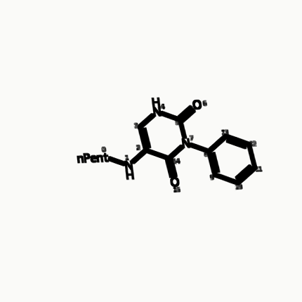 CCCCCNc1c[nH]c(=O)n(-c2ccccc2)c1=O